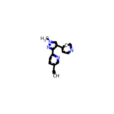 C#Cc1ccc(-c2nn(C)cc2-c2ccncc2)nc1